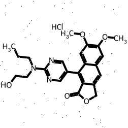 CCCN(CCO)c1ncc(-c2c3c(cc4cc(OC)c(OC)cc24)COC3=O)cn1.Cl